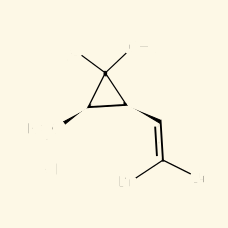 CC1(C)[C@H](C(=O)O)[C@@H]1C=C(Br)Br.Cl